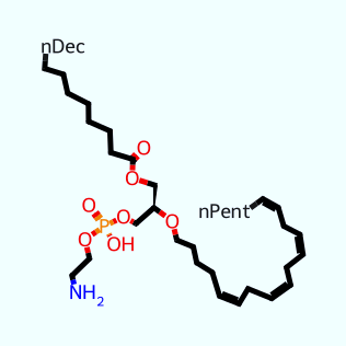 CCCCC/C=C\C/C=C\C/C=C\C/C=C\CCCCO[C@H](COC(=O)CCCCCCCCCCCCCCCCC)COP(=O)(O)OCCN